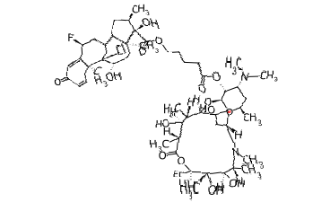 CC[C@H]1OC(=O)[C@H](C)[C@@H](O)[C@H](C)[C@@H](O[C@@H]2O[C@H](C)C[C@@H](N(C)C)[C@H]2OC(=O)CCCCOC(=O)[C@@]2(O)[C@H](C)CC3C4C[C@H](F)C5=CC(=O)C=C[C@]5(C)[C@@]4(Cl)[C@@H](O)C[C@@]32C)[C@]2(O)C[C@H](CN(C)[C@H](C)[C@@H](O)[C@]1(C)O)C2